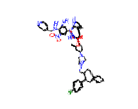 C=C(/C=C(\C=C/CC(=O)NSc1cc(N)c(NCc2ccncc2)c([N+](=O)[O-])c1)N1CCN(CC2=C(c3ccc(Cl)cc3)CC3(CCC3)CC2)CC1)Oc1cnc2[nH]ccc2c1